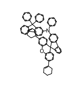 C1=CCC(c2ccc3c(c2)Oc2cc(C4=CCCCC4)ccc2C32c3ccccc3-c3ccc(N(c4ccccc4)c4ccc5c(c4)C(c4ccccc4)(c4ccccc4)c4ccccc4-5)cc32)CC1